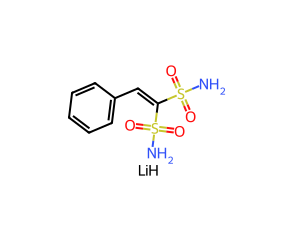 NS(=O)(=O)C(=Cc1ccccc1)S(N)(=O)=O.[LiH]